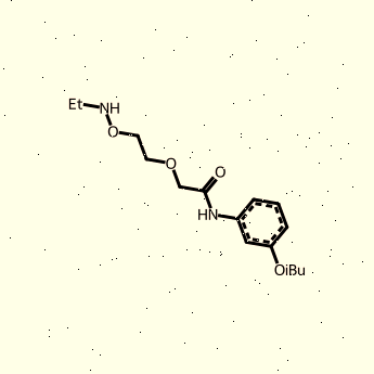 CCNOCCOCC(=O)Nc1cccc(OCC(C)C)c1